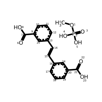 COP(=O)(O)O.O=C(O)c1cccc(C=Cc2cccc(C(=O)O)c2)c1